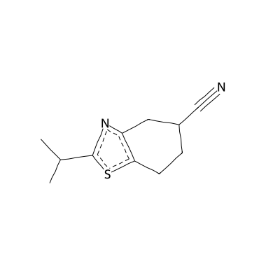 CC(C)c1nc2c(s1)CCC(C#N)C2